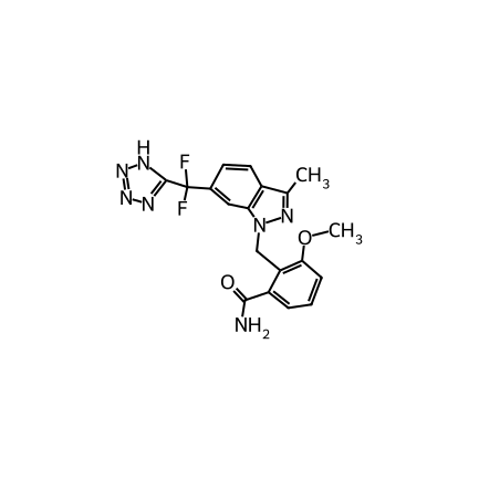 COc1cccc(C(N)=O)c1Cn1nc(C)c2ccc(C(F)(F)c3nnn[nH]3)cc21